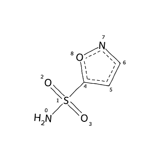 NS(=O)(=O)c1ccno1